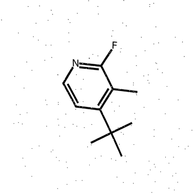 Cc1c(C(C)(C)C)ccnc1F